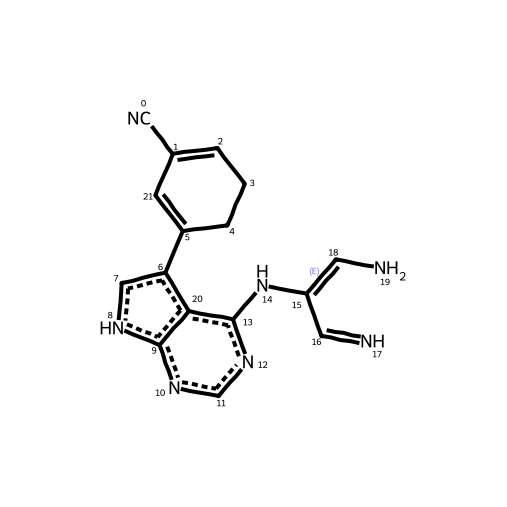 N#CC1=CCCC(c2c[nH]c3ncnc(N/C(C=N)=C/N)c23)=C1